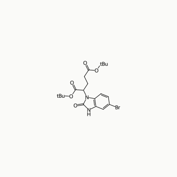 CC(C)(C)OC(=O)CCC(C(=O)OC(C)(C)C)n1c(=O)[nH]c2cc(Br)ccc21